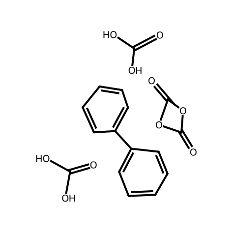 O=C(O)O.O=C(O)O.O=C1OC(=O)O1.c1ccc(-c2ccccc2)cc1